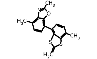 C=C1Sc2c(C)ccc(-c3ccc(C)c4nc(C)oc34)c2S1